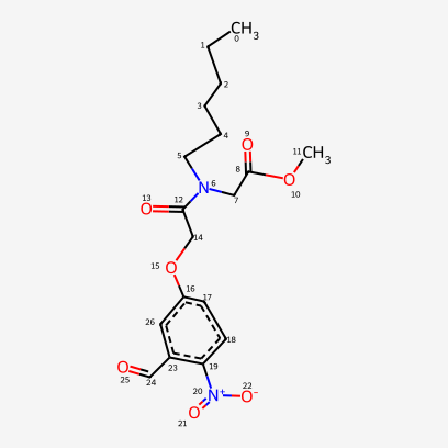 CCCCCCN(CC(=O)OC)C(=O)COc1ccc([N+](=O)[O-])c(C=O)c1